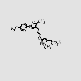 Cc1nn(-c2ccc(C(F)(F)F)cn2)cc1CCCOc1cc(CC(=O)O)n(C)n1